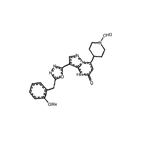 COc1ccccc1Cc1nnc(-c2cnn3c(C4CCN(C=O)CC4)cc(=O)[nH]c23)o1